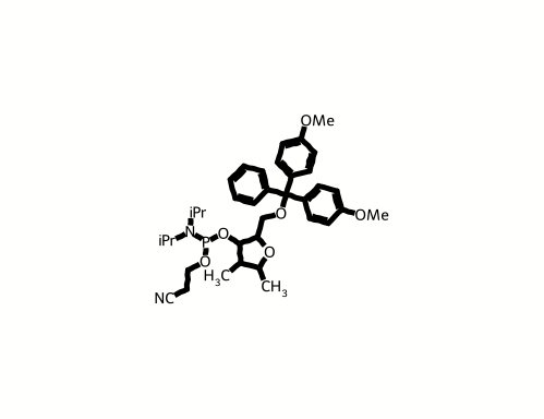 COc1ccc(C(OCC2OC(C)C(C)C2OP(OCCC#N)N(C(C)C)C(C)C)(c2ccccc2)c2ccc(OC)cc2)cc1